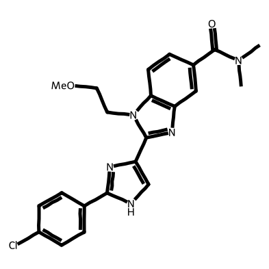 COCCn1c(-c2c[nH]c(-c3ccc(Cl)cc3)n2)nc2cc(C(=O)N(C)C)ccc21